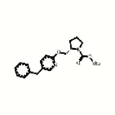 CC(C)(C)OC(=O)N1CCC[C@H]1COc1ccc(Cc2ccccc2)cn1